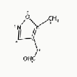 Cc1oncc1C[C]=O